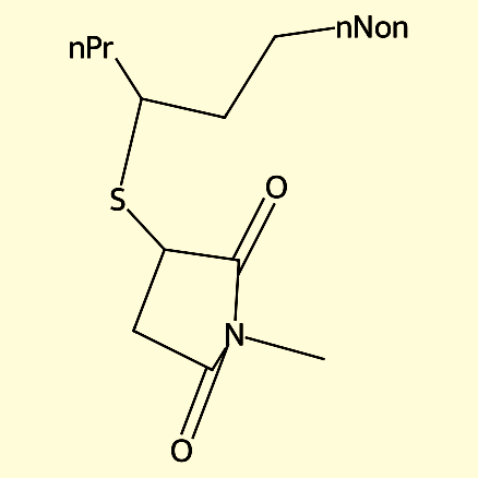 CCCCCCCCCCCC(CCC)SC1CC(=O)N(C)C1=O